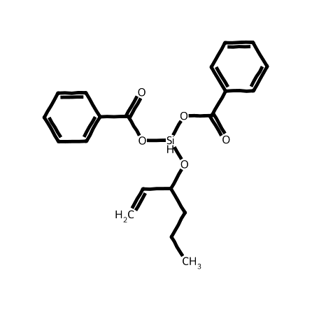 C=CC(CCC)O[SiH](OC(=O)c1ccccc1)OC(=O)c1ccccc1